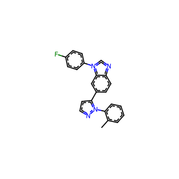 Cc1ccccc1-n1nccc1-c1ccc2ncn(-c3ccc(F)cc3)c2c1